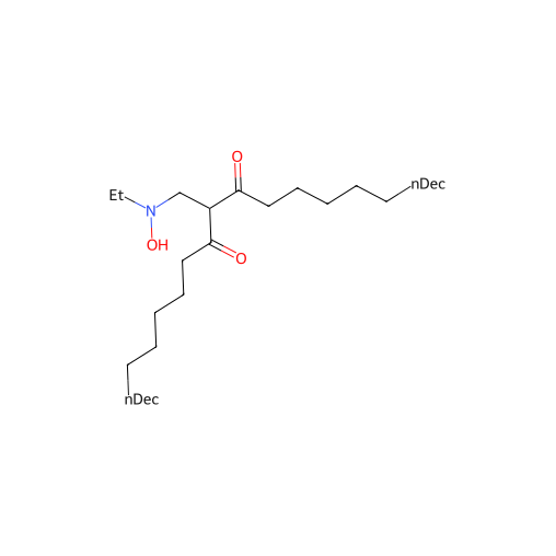 CCCCCCCCCCCCCCCC(=O)C(CN(O)CC)C(=O)CCCCCCCCCCCCCCC